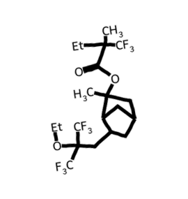 CCOC(CC1CC2CC1C(C)(OC(=O)C(C)(CC)C(F)(F)F)C2)(C(F)(F)F)C(F)(F)F